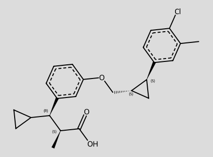 Cc1cc([C@H]2C[C@@H]2COc2cccc([C@H](C3CC3)[C@H](C)C(=O)O)c2)ccc1Cl